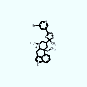 CO[C@]12CC(C3(C)N=NC(c4cncc(Br)c4)=N3)CN(C)[C@@H]1Cc1c[nH]c3cccc2c13